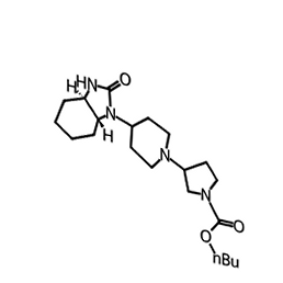 CCCCOC(=O)N1CCC(N2CCC(N3C(=O)N[C@@H]4CCCC[C@H]43)CC2)C1